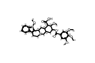 COc1cc(C(=O)OC2CC3CN4CCc5c(n(OC)c6ccccc56)C4CC3C(C(=O)O)C2OC)cc(OC)c1OC